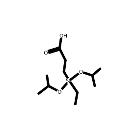 CC[Si](CCC(=O)O)(OC(C)C)OC(C)C